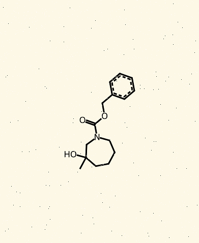 CC1(O)CCCCN(C(=O)OCc2ccccc2)C1